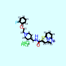 Cl.Cl.O=C(NCC1CCN(CCOc2ccccc2F)CC1)C1=Cc2cnc3cccc(n23)S1